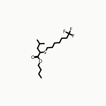 CCCCOC(=O)C(CC(C)C)SCCCCCCC(F)(F)F